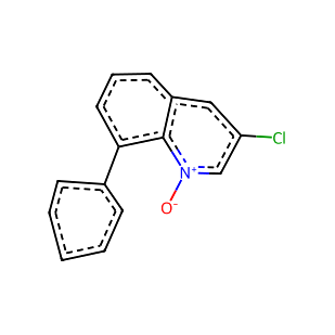 [O-][n+]1cc(Cl)cc2cccc(-c3ccccc3)c21